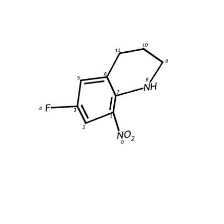 O=[N+]([O-])c1cc(F)cc2c1NCCC2